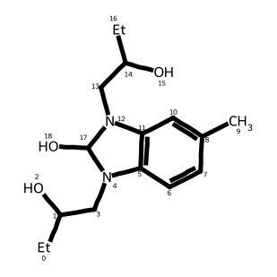 CCC(O)CN1c2ccc(C)cc2N(CC(O)CC)C1O